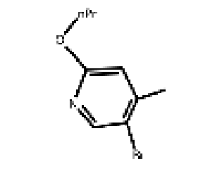 CCCOc1cc(C)c(Br)cn1